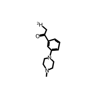 [2H]CC(=O)c1cccc(N2CCN(C)CC2)c1